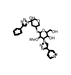 COC1C(SC2COCC(O)(n3cc(-c4ccccc4)nn3)C2)OC(CO)C(O)C1n1cc(-c2ccnnc2)nn1